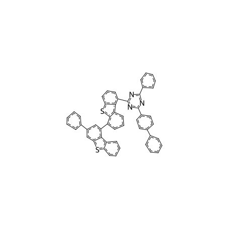 c1ccc(-c2ccc(-c3nc(-c4ccccc4)nc(-c4cccc5sc6c(-c7cc(-c8ccccc8)cc8sc9ccccc9c78)cccc6c45)n3)cc2)cc1